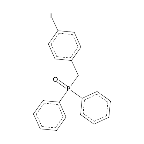 O=P(Cc1ccc(I)cc1)(c1ccccc1)c1ccccc1